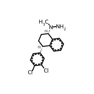 CN(N)[C@H]1CC[C@@H](c2ccc(Cl)c(Cl)c2)c2ccccc21